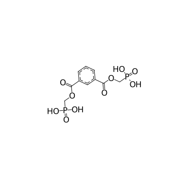 O=C(OCP(=O)(O)O)c1cccc(C(=O)OCP(=O)(O)O)c1